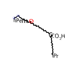 CCCCC/C=C\C/C=C\CCCCCCCC(=O)CCCCCCCCCCCCCCCCC(CCCCCCCCCCCCCC(C)C)C(=O)O